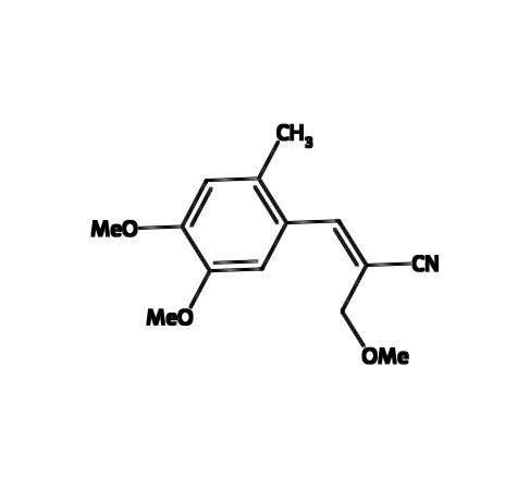 COC/C(C#N)=C\c1cc(OC)c(OC)cc1C